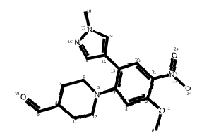 COc1cc(N2CCC(C=O)CC2)c(-c2cnn(C)c2)cc1[N+](=O)[O-]